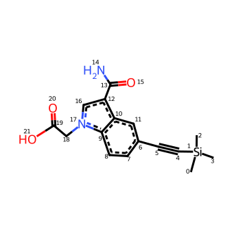 C[Si](C)(C)C#Cc1ccc2c(c1)c(C(N)=O)cn2CC(=O)O